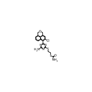 NC(=O)SCCSc1nc(N)nc(-c2c(Cl)cc3c4c(cccc24)COC3)n1